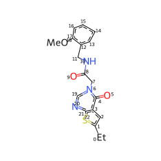 CCc1cc2c(=O)n(CC(=O)NCc3ccccc3OC)cnc2s1